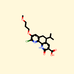 COCCCOc1cc2c(nc1Cl)-c1[nH]c(=O)c(C(=O)O)cc1C(C(C)C)C2